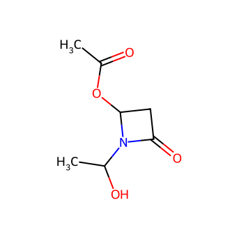 CC(=O)OC1CC(=O)N1C(C)O